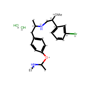 CCNC(C)Oc1ccc(CC(C)NCC(OC)c2cccc(Br)c2)cc1.Cl.Cl